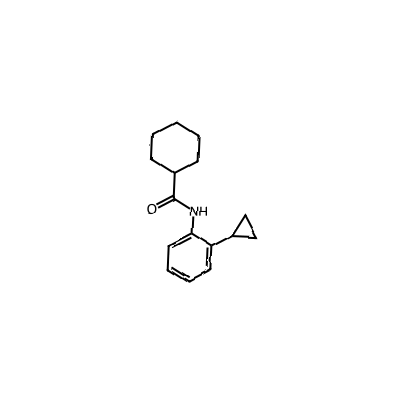 O=C(Nc1ccccc1C1CC1)C1CCCCC1